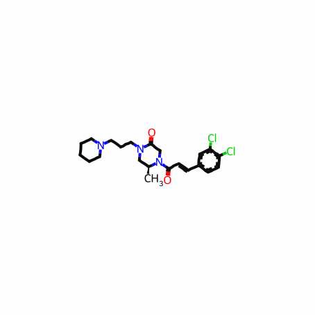 C[C@H]1CN(CCCN2CCCCC2)C(=O)CN1C(=O)/C=C/c1ccc(Cl)c(Cl)c1